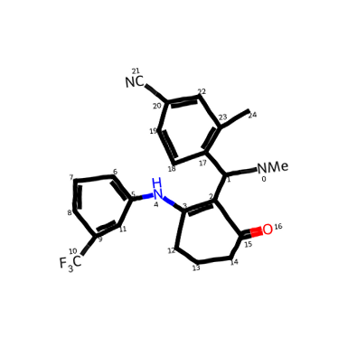 CNC(C1=C(Nc2cccc(C(F)(F)F)c2)CCCC1=O)c1ccc(C#N)cc1C